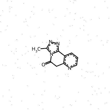 Cc1nnc2n1C(=O)Cc1ncccc1-2